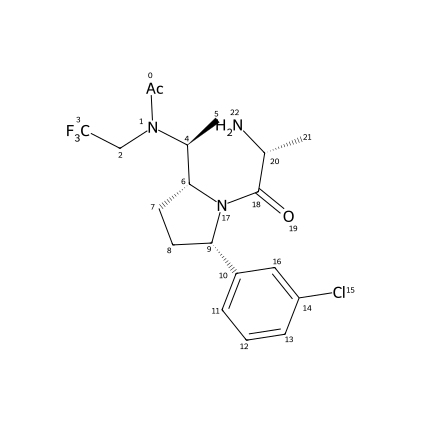 CC(=O)N(CC(F)(F)F)[C@@H](C)[C@H]1CC[C@@H](c2cccc(Cl)c2)N1C(=O)[C@@H](C)N